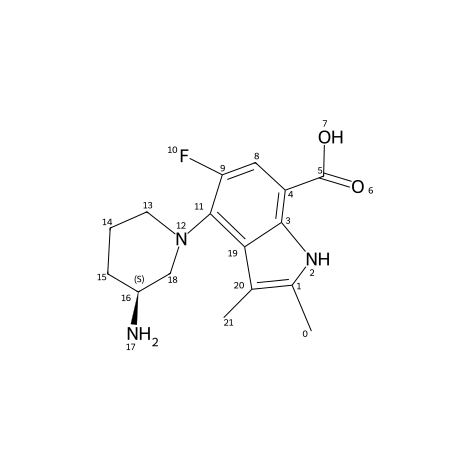 Cc1[nH]c2c(C(=O)O)cc(F)c(N3CCC[C@H](N)C3)c2c1C